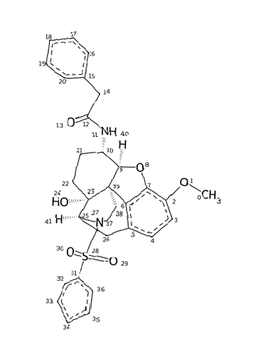 COc1ccc2c3c1O[C@@H]1[C@@H](NC(=O)Cc4ccccc4)CC[C@]4(O)[C@H](C2)N(S(=O)(=O)c2ccccc2)CC[C@@]314